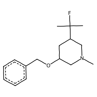 CN1CC(OCc2ccccc2)CC(C(C)(C)F)C1